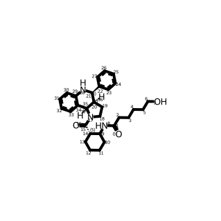 O=C(CCCCCO)NC1CCCC[C@@H]1C(=O)N1CC[C@@H]2[C@H](c3ccccc3)Nc3ccccc3[C@@H]21